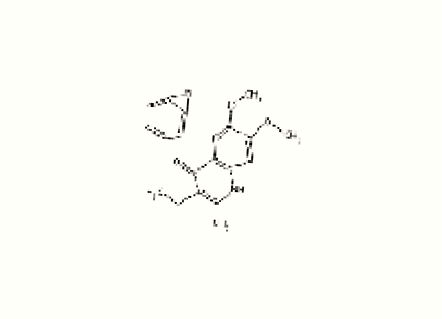 CCc1c(C)[nH]c2cc(OC)c(OC)cc2c1=O.c1ccc2c(c1)O2